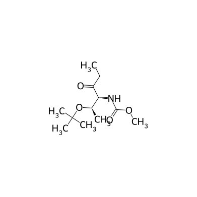 CCC(=O)[C@@H](NC(=O)OC)[C@@H](C)OC(C)(C)C